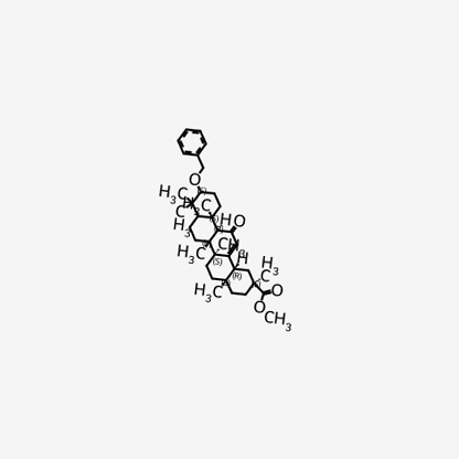 COC(=O)[C@@]1(C)CC[C@]2(C)CC[C@]3(C)C(=CC(=O)[C@@H]4[C@@]5(C)CC[C@H](OCc6ccccc6)C(C)(C)C5CC[C@]43C)[C@@H]2C1